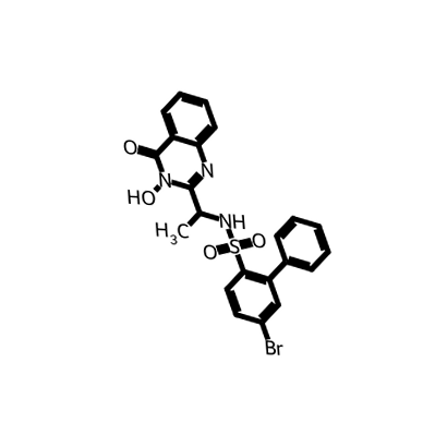 CC(NS(=O)(=O)c1ccc(Br)cc1-c1ccccc1)c1nc2ccccc2c(=O)n1O